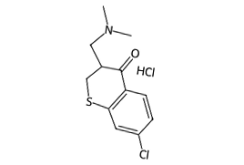 CN(C)CC1CSc2cc(Cl)ccc2C1=O.Cl